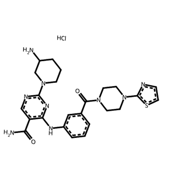 Cl.NC(=O)c1cnc(N2CCCC(N)C2)nc1Nc1cccc(C(=O)N2CCN(c3nccs3)CC2)c1